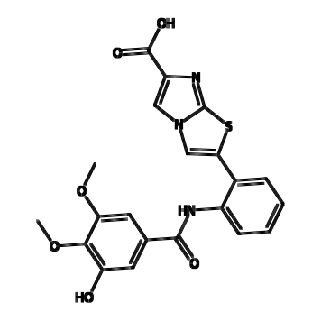 COc1cc(C(=O)Nc2ccccc2-c2cn3cc(C(=O)O)nc3s2)cc(O)c1OC